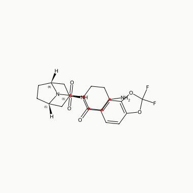 NC1CCC(S(=O)(=O)N2[C@@H]3CC[C@H]2C[C@H](NC(=O)c2ccc4c(c2)OC(F)(F)O4)C3)CC1